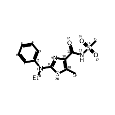 CCN(c1ccccc1)c1nc(C(=O)NS(C)(=O)=O)c(C)s1